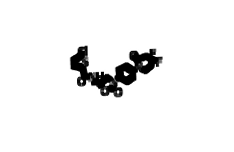 O=C(NC[C@H]1CN(c2ccc(N3CCC(F)(F)CC3=O)cc2)C(=O)O1)c1ccc(Cl)s1